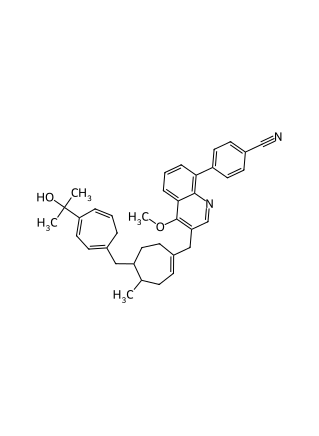 COc1c(CC2=CCC(C)C(CC3=CC=C(C(C)(C)O)C=CC3)CC2)cnc2c(-c3ccc(C#N)cc3)cccc12